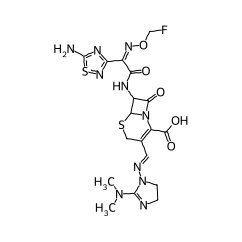 CN(C)C1=NCCN1/N=C/C1=C(C(=O)O)N2C(=O)C(NC(=O)/C(=N\OCF)c3nsc(N)n3)C2SC1